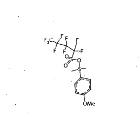 COc1ccc(S(C)(C)OS(=O)(=O)C(F)(F)C(F)(F)C(F)(F)C(F)(F)F)cc1